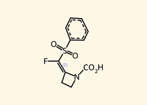 O=C(O)N1CC/C1=C(\F)S(=O)(=O)c1ccccc1